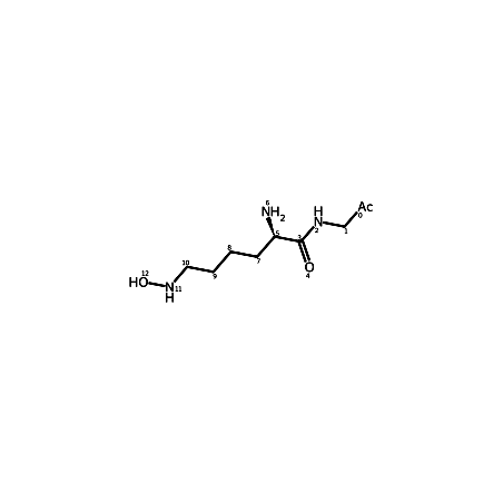 CC(=O)CNC(=O)[C@H](N)CCCCNO